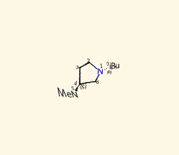 CC[C@@H](C)N1CC[C@H](NC)C1